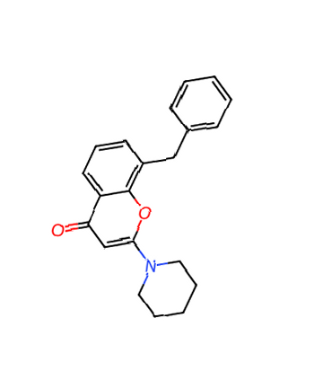 O=c1cc(N2CCCCC2)oc2c(Cc3ccccc3)cccc12